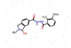 COc1cccc(C(=O)NNC(=O)c2ccc3c(c2)B(O)N(C(C)(C)C)C3)c1C